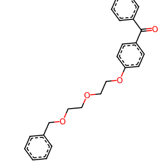 O=C(c1ccccc1)c1ccc(OCCOCCOCc2ccccc2)cc1